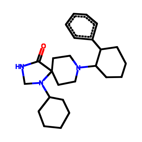 O=C1NCN(C2CCCCC2)C12CCN(C1CCCCC1c1ccccc1)CC2